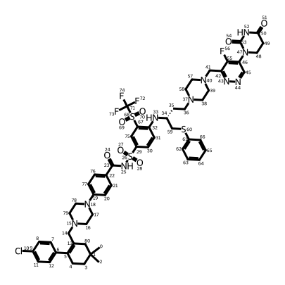 CC1(C)CCC(c2ccc(Cl)cc2)=C(CN2CCN(c3ccc(C(=O)NS(=O)(=O)c4ccc(N[C@H](CCN5CCN(Cc6nncc(N7CCC(=O)NC7=O)c6F)CC5)CSc5ccccc5)c(S(=O)(=O)C(F)(F)F)c4)cc3)CC2)C1